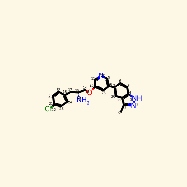 Cc1n[nH]c2ccc(-c3cncc(OC[C@H](N)Cc4ccc(Cl)cc4)c3)cc12